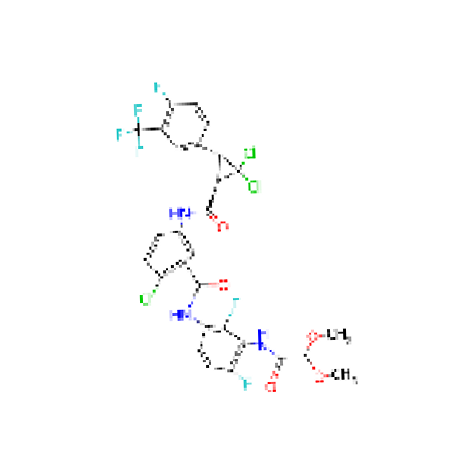 COC(OC)C(=O)Nc1c(F)ccc(NC(=O)c2cc(NC(=O)[C@H]3[C@H](c4ccc(F)c(C(F)(F)F)c4)C3(Cl)Cl)ccc2Cl)c1F